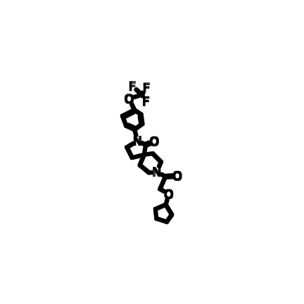 O=C(COC1CCCC1)N1CCC2(CC1)CCN(c1ccc(OC(F)(F)F)cc1)C2=O